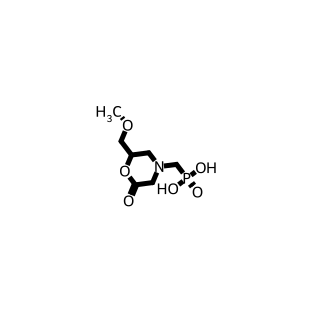 COCC1CN(CP(=O)(O)O)CC(=O)O1